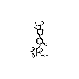 CN1Cc2cc(-c3ccn(CCC(C)(C(=O)NO)S(C)(=O)=O)c(=O)c3)ccc2C1=O